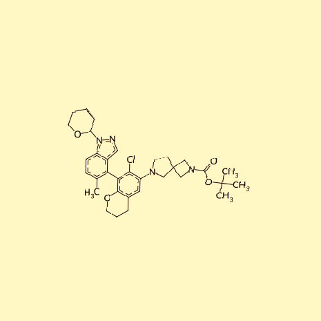 Cc1ccc2c(cnn2C2CCCCO2)c1-c1c(Cl)c(N2CCC3(CN(C(=O)OC(C)(C)C)C3)C2)cc2c1OCCC2